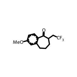 COc1ccc2c(c1)CCCC(CC(F)(F)F)C2=O